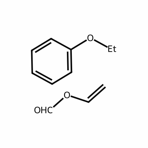 C=COC=O.CCOc1ccccc1